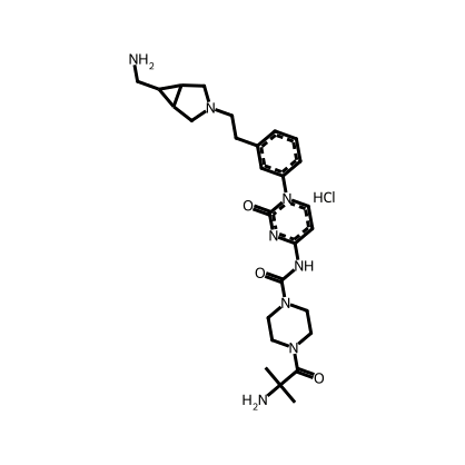 CC(C)(N)C(=O)N1CCN(C(=O)Nc2ccn(-c3cccc(CCN4CC5C(CN)C5C4)c3)c(=O)n2)CC1.Cl